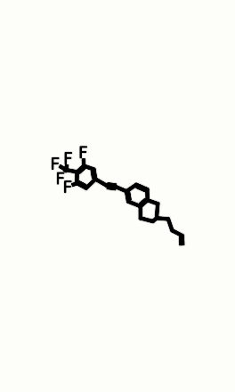 C=CCCC1CCc2cc(C#Cc3cc(F)c(C(F)(F)F)c(F)c3)ccc2C1